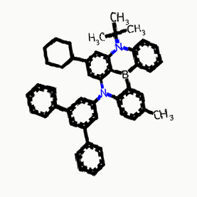 Cc1ccc2c(c1)B1c3ccccc3N(C(C)(C)C)c3cc(C4CCCCC4)cc(c31)N2c1cc(-c2ccccc2)cc(-c2ccccc2)c1